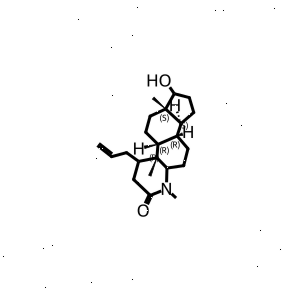 C=CCC1CC(=O)N(C)C2CC[C@@H]3[C@@H](CC[C@]4(C)C(O)CC[C@@H]34)[C@@]12C